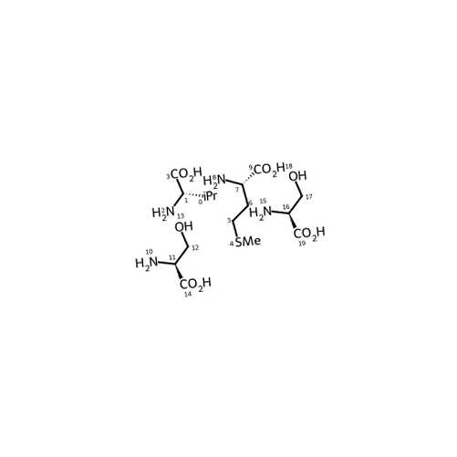 CC(C)[C@H](N)C(=O)O.CSCC[C@H](N)C(=O)O.N[C@@H](CO)C(=O)O.N[C@@H](CO)C(=O)O